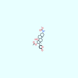 COC(=O)N(C)C1CCC2(C)C(CCC3C2CCC2(C)C(c4ccc(=O)oc4)C(OC(C)=O)CC32O)C1